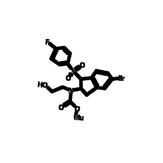 CC(C)(C)OC(=O)N(CCO)C1Cc2cc(Br)ccc2C1S(=O)(=O)c1ccc(F)cc1